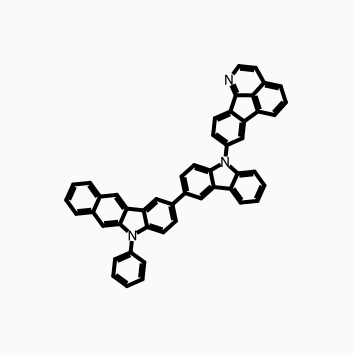 c1ccc(-n2c3ccc(-c4ccc5c(c4)c4ccccc4n5-c4ccc5c(c4)-c4cccc6ccnc-5c46)cc3c3cc4ccccc4cc32)cc1